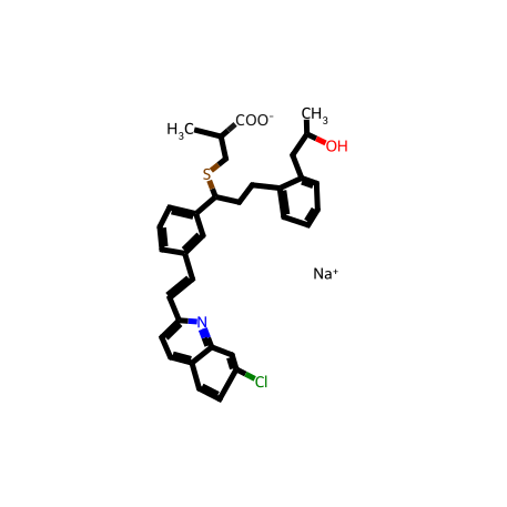 CC(O)Cc1ccccc1CCC(SCC(C)C(=O)[O-])c1cccc(C=Cc2ccc3ccc(Cl)cc3n2)c1.[Na+]